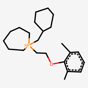 Cc1cccc(C)c1OCC[PH]1(CC2CCCCC2)CCCCCC1